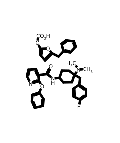 CN(C)C1(Cc2ccc(F)cc2)CCC(NC(=O)c2cccnc2Oc2ccccc2)CC1.O=C(O)Oc1ccc(Cc2ccccc2)o1